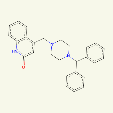 O=c1cc(CN2CCN(C(c3ccccc3)c3ccccc3)CC2)c2ccccc2[nH]1